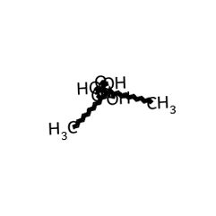 CCCCCCCCCCC(O)CN1CC(CCCCCCCCCC)OC(O)C1C(=O)O